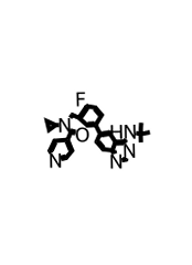 CC(C)(C)Nc1ncnc2ccc(-c3ccc(F)c(CN(C(=O)c4ccncc4)C4CC4)c3)cc12